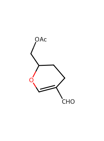 CC(=O)OCC1CCC(C=O)=CO1